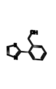 OCc1ccccc1-c1nccs1